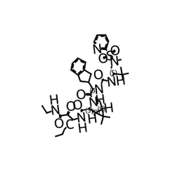 CCCCC(NC(=O)[C@@H]1[C@@H]2[C@H](CN1C(=O)[C@@H](NC(=O)N[C@H](CN(C)S(=O)(=O)c1ccccn1)C(C)(C)C)C1Cc3ccccc3C1)C2(C)C)C(=O)C(=O)NCC